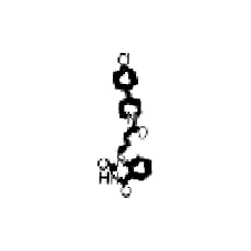 O=C(CCCn1c(=O)[nH]c(=O)c2ccccc21)N1CC=C(c2ccc(Cl)cc2)CC1